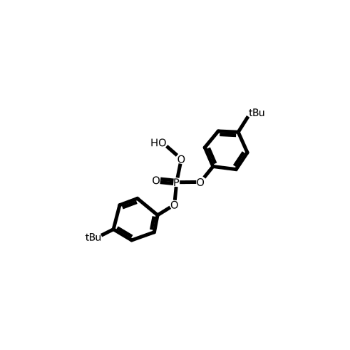 CC(C)(C)c1ccc(OP(=O)(OO)Oc2ccc(C(C)(C)C)cc2)cc1